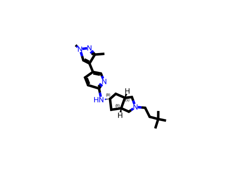 Cc1nn(C)cc1-c1ccc(N[C@@H]2C[C@@H]3CN(CCC(C)(C)C)C[C@@H]3C2)nc1